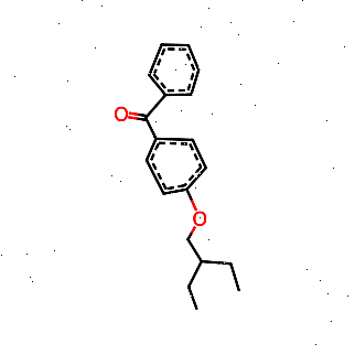 CCC(CC)COc1ccc(C(=O)c2ccccc2)cc1